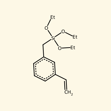 C=Cc1cccc(C[Si](OCC)(OCC)OCC)c1